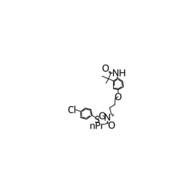 CCCC(=O)[N+](=CCCCOc1ccc2c(c1)C(C)(C)C(=O)N2)OSc1ccc(Cl)cc1